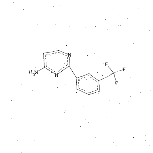 Nc1ccnc(-c2cccc(C(F)(F)F)c2)n1